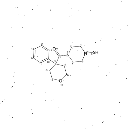 O=C(N1CCN(S)CC1)C1(c2ccccc2)CCOCC1